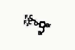 FC(F)(F)C(COc1ccc(Br)c(CBr)c1)C(F)(F)F